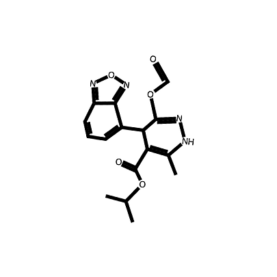 CC1=C(C(=O)OC(C)C)C(c2cccc3nonc23)C(OC=O)=NN1